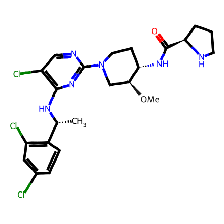 CO[C@H]1CN(c2ncc(Cl)c(N[C@H](C)c3ccc(Cl)cc3Cl)n2)CC[C@@H]1NC(=O)[C@H]1CCCN1